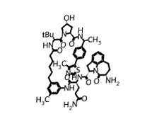 Cc1cc(CCCCCC(=O)N[C@H](C(=O)N2C[C@H](O)C[C@H]2C(=O)N[C@@H](C)c2ccc(-c3scnc3C)cc2)C(C)(C)C)cc(NC(=O)[C@H](CCC(N)=O)NC(=O)[C@@H]2Cc3cccc4c3N2C(=O)[C@@H](N)CC4)c1